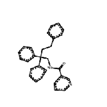 O=C(NCC(CCc1ccccc1)(c1ccccc1)c1ccccc1)c1cccnc1